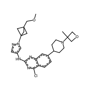 COCC12CC(n3cc(Nc4nc(Cl)c5ccc(C6CCN(C7(C)COC7)CC6)cc5n4)cn3)(C1)C2